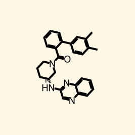 Cc1ccc(-c2ccccc2C(=O)N2CCC[C@@H](Nc3cnc4ccccc4n3)C2)cc1C